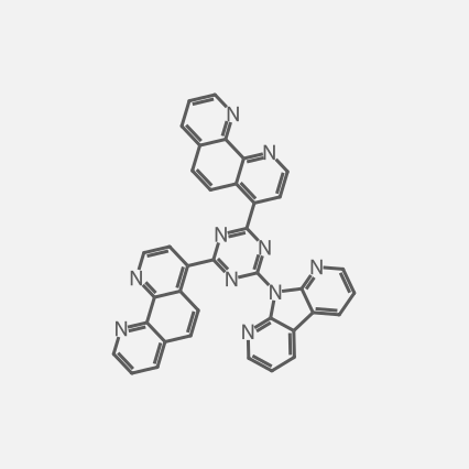 c1cnc2c(c1)ccc1c(-c3nc(-c4ccnc5c4ccc4cccnc45)nc(-n4c5ncccc5c5cccnc54)n3)ccnc12